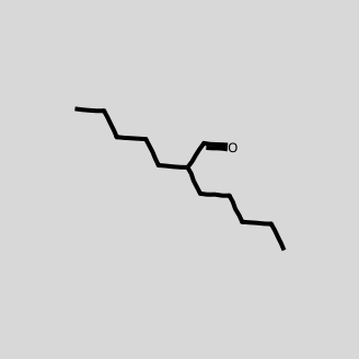 CCCCCC(C=O)CCCCC